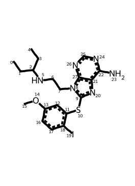 CCC(CC)NCCn1c(Sc2cc(OC)ccc2I)nc2c(N)ncnc21